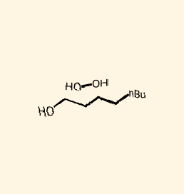 CCCCCCCCO.OO